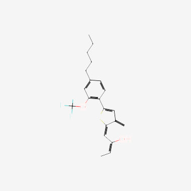 C=c1cc(-c2ccc(CCCCC)cc2OC(F)(F)F)s/c1=C/C(O)=C\C